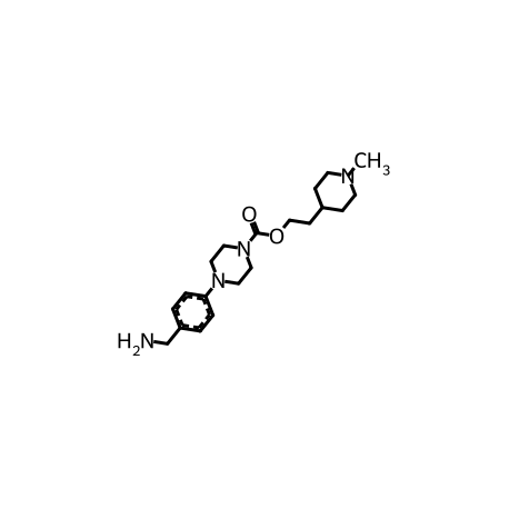 CN1CCC(CCOC(=O)N2CCN(c3ccc(CN)cc3)CC2)CC1